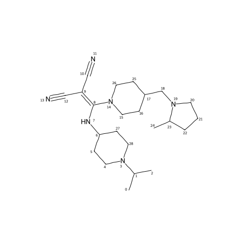 CC(C)N1CCC(NC(=C(C#N)C#N)N2CCC(CN3CCCC3C)CC2)CC1